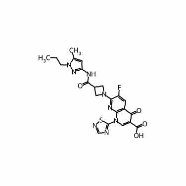 CCCn1nc(NC(=O)C2CN(c3nc4c(cc3F)c(=O)c(C(=O)O)cn4-c3ncns3)C2)cc1C